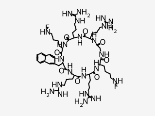 N=C(N)NCCCC1NC(=O)CNC(=O)C(CCCCNF)NC(=O)C(CCCNC(=N)N)NC(=O)C(CCCNC(=N)N)NC(=O)C(Cc2ccc3ccccc3c2)NC(=O)C(CCCCNF)NC(=O)C(CCCNC(=N)N)NC1=O